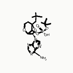 CC(C)(C)CC12CCOC(C1OP(=O)(O)OC(C)(C)C)[C@H](n1cnc3c(N)ncnc31)O2